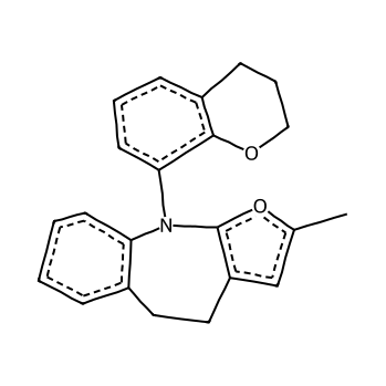 Cc1cc2c(o1)N(c1cccc3c1OCCC3)c1ccccc1CC2